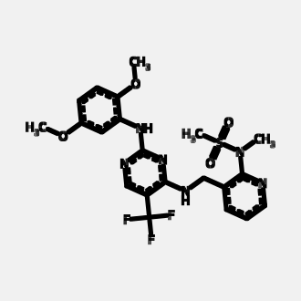 COc1ccc(OC)c(Nc2ncc(C(F)(F)F)c(NCc3cccnc3N(C)S(C)(=O)=O)n2)c1